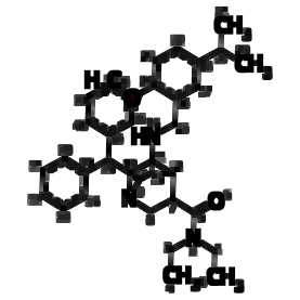 CCN(CC)C(=O)C1CN2CCC1C(NCc1cc(C(C)C)ccc1OC)C2C(c1ccccc1)c1ccccc1